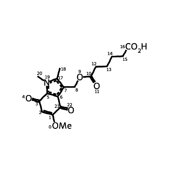 COC1=CC(=O)c2c(c(COC(=O)CCCCC(=O)O)c(C)n2C)C1=O